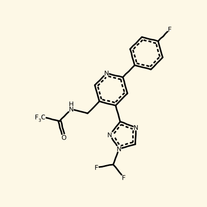 O=C(NCc1cnc(-c2ccc(F)cc2)cc1-c1ncn(C(F)F)n1)C(F)(F)F